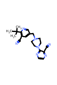 CC(C)(C)c1ncc(CN2CCN(c3nccnc3C#N)CC2)cc1C#N